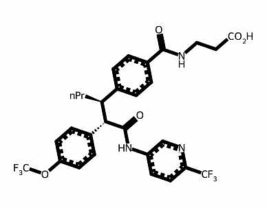 CCC[C@@H](c1ccc(C(=O)NCCC(=O)O)cc1)[C@H](C(=O)Nc1ccc(C(F)(F)F)nc1)c1ccc(OC(F)(F)F)cc1